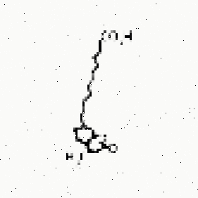 Cc1cc(=O)oc2cc(CCCCCCCCCCCC(=O)O)ccc12